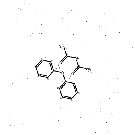 NC(=O)NC(N)=O.c1ccc(Oc2ccccc2)cc1